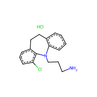 Cl.NCCCN1c2ccccc2CCc2cccc(Cl)c21